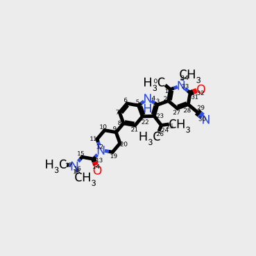 Cc1c(-c2[nH]c3ccc(C4CCN(C(=O)CN(C)C)CC4)cc3c2C(C)C)cc(C#N)c(=O)n1C